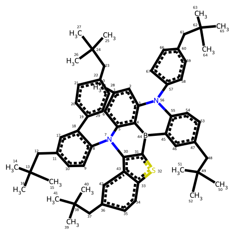 Cc1cc2c3c(c1)N(c1ccc(CC(C)(C)C)cc1-c1ccc(CC(C)(C)C)cc1)c1c(sc4ccc(CC(C)(C)C)cc14)B3c1cc(CC(C)(C)C)ccc1N2c1ccc(CC(C)(C)C)cc1